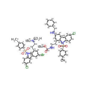 Cc1ccc(S(=O)(=O)n2c3ccc(Cl)cc3c3cc(Br)cc(CCN(C(=O)O)C(C)(C)C)c32)cc1.Cc1ccc(S(=O)(=O)n2c3ccc(Cl)cc3c3cc(NCc4ccccc4)cc(CCNC(=O)OC(C)(C)C)c32)cc1